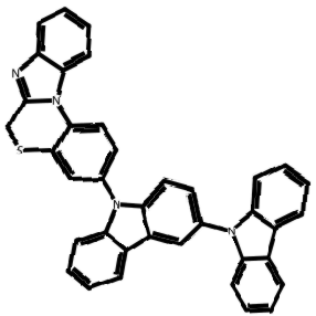 c1ccc2c(c1)nc1n2-c2ccc(-n3c4ccccc4c4cc(-n5c6ccccc6c6ccccc65)ccc43)cc2SC1